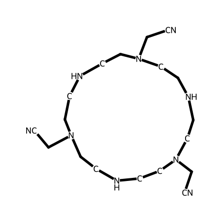 N#CCN1CCNCCN(CC#N)CCNCCN(CC#N)CCNCC1